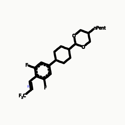 CCCCCC1COC(C2CCC(c3cc(F)c(/C=C/C(F)(F)F)c(F)c3)CC2)OC1